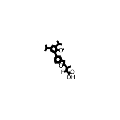 COc1c(-c2ccc3oc(/C(C)=C(\F)C(=O)O)cc3c2)cc(C(C)C)cc1C(C)C